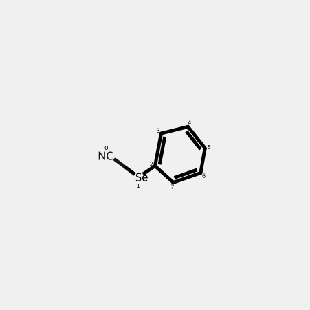 N#C[Se]c1c[c]ccc1